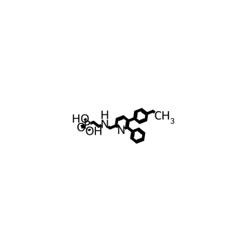 CCc1ccc(-c2ccc(CNCCP(=O)(O)O)nc2-c2ccccc2)cc1